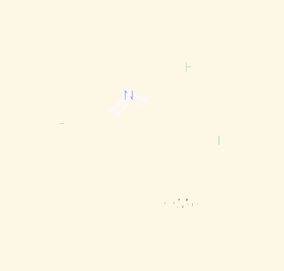 COc1cc(F)nc(F)c1F